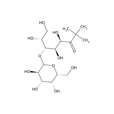 CC(C)(C)C(=O)[C@H](O)[C@@H](O)[C@H](OC1O[C@H](CO)[C@H](O)[C@H](O)[C@H]1O)[C@H](O)CO